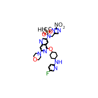 Cn1c(CN(c2cnc3cc(N4CCOCC4)nc(OC4CCC(Nc5ccc(F)cn5)CC4)c3c2)S(C)(=O)=O)cnc1[N+](=O)[O-]